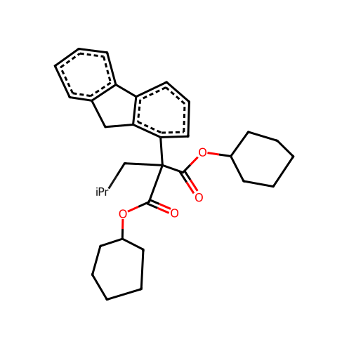 CC(C)CC(C(=O)OC1CCCCC1)(C(=O)OC1CCCCC1)c1cccc2c1Cc1ccccc1-2